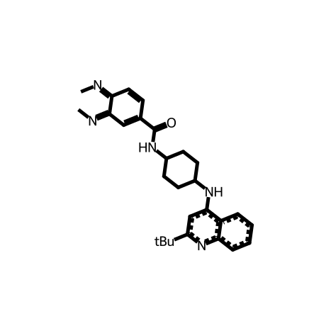 C/N=C1/C=CC(C(=O)NC2CCC(Nc3cc(C(C)(C)C)nc4ccccc34)CC2)=C/C1=N/C